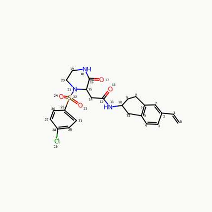 C=Cc1ccc2c(c1)CCC(NC(=O)CC1C(=O)NCCN1S(=O)(=O)c1ccc(Cl)cc1)C2